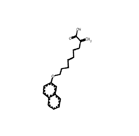 C=C(CCCCCCCOc1ccc2ccccc2c1)C(=O)O